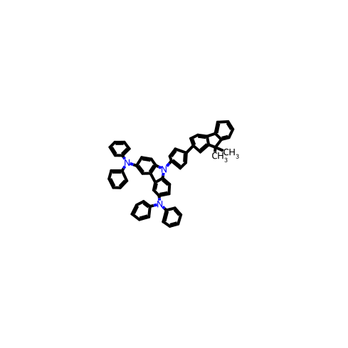 CC1(C)c2ccccc2-c2ccc(-c3ccc(-n4c5ccc(N(c6ccccc6)c6ccccc6)cc5c5cc(N(c6ccccc6)c6ccccc6)ccc54)cc3)cc21